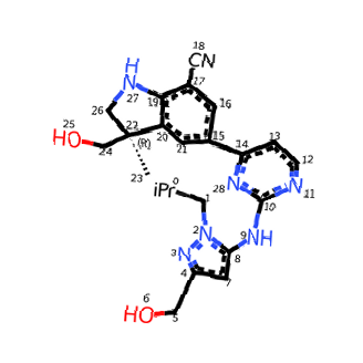 CC(C)Cn1nc(CO)cc1Nc1nccc(-c2cc(C#N)c3c(c2)[C@@](C)(CO)CN3)n1